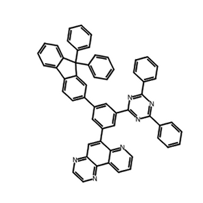 c1ccc(-c2nc(-c3ccccc3)nc(-c3cc(-c4ccc5c(c4)C(c4ccccc4)(c4ccccc4)c4ccccc4-5)cc(-c4cc5nccnc5c5cccnc45)c3)n2)cc1